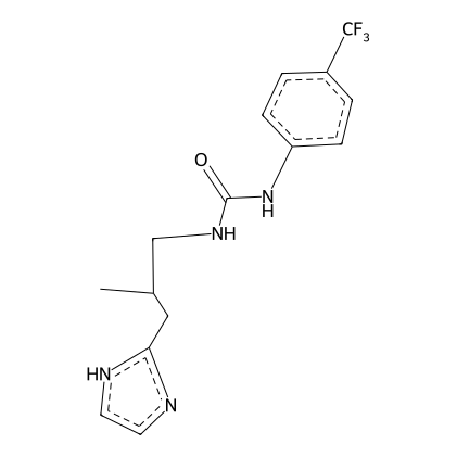 CC(CNC(=O)Nc1ccc(C(F)(F)F)cc1)Cc1ncc[nH]1